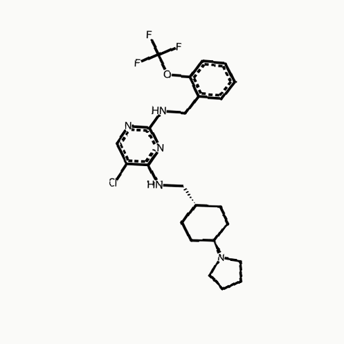 FC(F)(F)Oc1ccccc1CNc1ncc(Cl)c(NC[C@H]2CC[C@H](N3CCCC3)CC2)n1